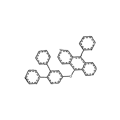 c1ccc(-c2ccc(Oc3c4ccccc4c(-c4ccccc4)c4cnccc34)cc2-c2ccccc2)cc1